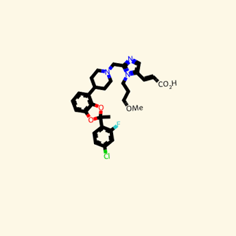 COCCCn1c(/C=C/C(=O)O)cnc1CN1CCC(c2cccc3c2OC(C)(c2ccc(Cl)cc2F)O3)CC1